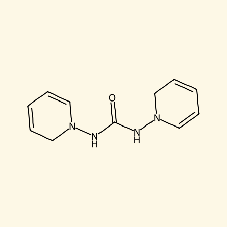 O=C(NN1C=CC=CC1)NN1C=CC=CC1